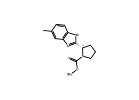 Cc1ccc2[nH]c([C@@H]3CCCN3C(=O)OC(C)(C)C)nc2c1